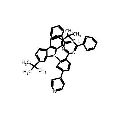 CC(C)(C)c1ccc2c3ccc(C(C)(C)C)cc3n(-c3cc(-c4ccncc4)ccc3-c3nc(-c4ccccc4)nc(-c4ccccc4)n3)c2c1